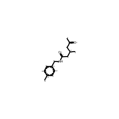 CC(=O)CC(C)CC(=O)NCc1ccc(C)cc1